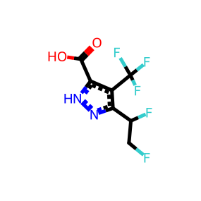 O=C(O)c1[nH]nc(C(F)CF)c1C(F)(F)F